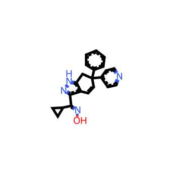 ON=C(c1n[nH]c2c1C=CC(c1ccccc1)(c1ccncc1)C2)C1CC1